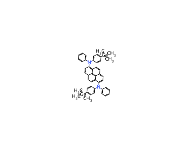 [CH3][Ge]([CH3])([CH3])[c]1ccc(N(c2ccccc2)c2ccc3ccc4c(N(c5ccccc5)c5cc[c]([Ge]([CH3])([CH3])[CH3])cc5)ccc5ccc2c3c54)cc1